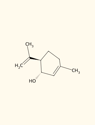 C=C(C)[C@H]1CCC(C)=C[C@@H]1O